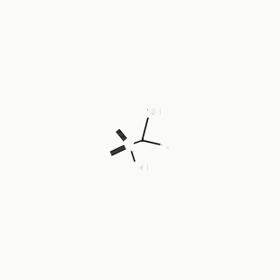 CCCC(N)S(=O)(=O)O